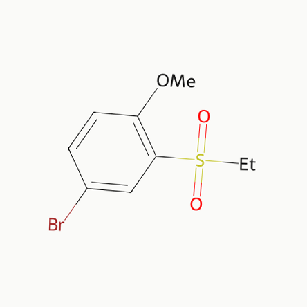 CCS(=O)(=O)c1cc(Br)ccc1OC